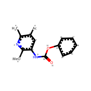 COc1nc(C)c(C(C)=O)cc1NC(=O)Oc1ccccc1